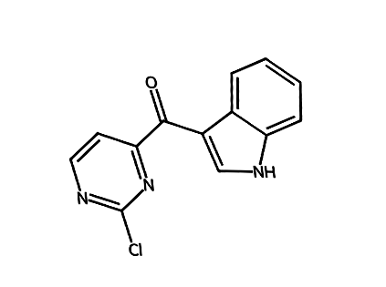 O=C(c1ccnc(Cl)n1)c1c[nH]c2ccccc12